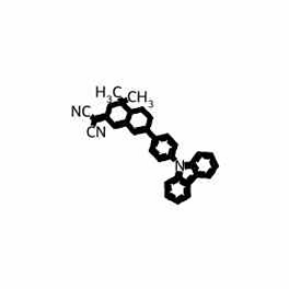 CC1(C)CC(=C(C#N)C#N)C=C2C=C(c3ccc(-n4c5ccccc5c5ccccc54)cc3)CCC21